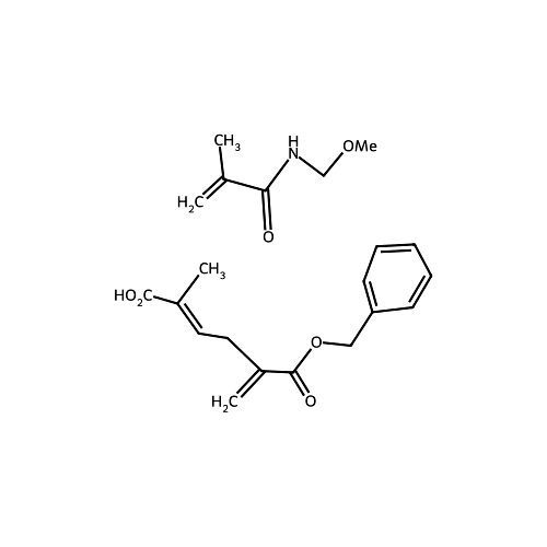 C=C(C)C(=O)NCOC.C=C(CC=C(C)C(=O)O)C(=O)OCc1ccccc1